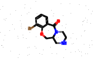 O=C1c2cccc(Br)c2OCC2CNCCN12